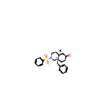 O=C1CC[C@]2(Cc3ccccc3)CN(S(=O)(=O)c3ccccc3)CC[C@H]2C1